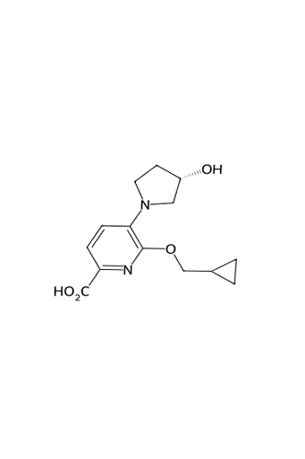 O=C(O)c1ccc(N2CC[C@H](O)C2)c(OCC2CC2)n1